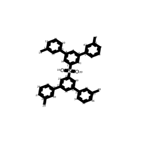 Cc1cccc(-c2cc(-c3cccc(C)c3)cc(S(=O)(=O)c3cc(-c4cccc(C)c4)cc(-c4cccc(C)c4)c3)c2)c1